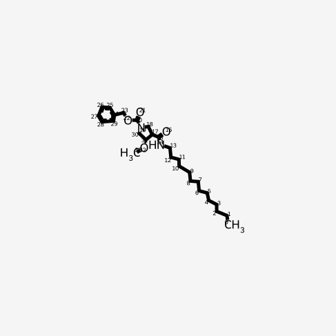 CCCCCCCCCCCCCCNC(=O)C1CN(C(=O)OCc2ccccc2)C[C@@H]1OC